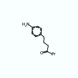 CC(C)C(=O)CCCc1ccc(N)cc1